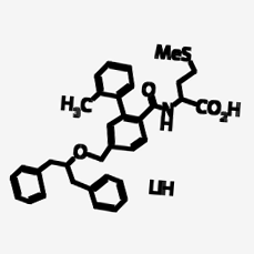 CSCCC(NC(=O)c1ccc(COC(Cc2ccccc2)Cc2ccccc2)cc1-c1ccccc1C)C(=O)O.[LiH]